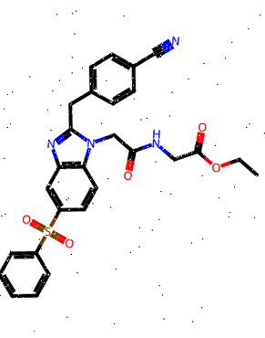 CCOC(=O)CNC(=O)Cn1c(Cc2ccc(C#N)cc2)nc2cc(S(=O)(=O)c3ccccc3)ccc21